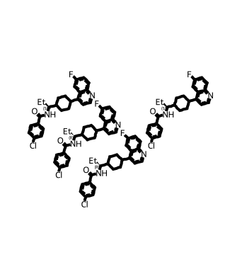 CC[C@@H](NC(=O)c1ccc(Cl)cc1)C1CCC(c2ccnc3ccc(F)cc23)CC1.CC[C@@H](NC(=O)c1ccc(Cl)cc1)C1CCC(c2ccnc3ccc(F)cc23)CC1.CC[C@H](NC(=O)c1ccc(Cl)cc1)C1CCC(c2ccnc3ccc(F)cc23)CC1.CC[C@H](NC(=O)c1ccc(Cl)cc1)C1CCC(c2ccnc3ccc(F)cc23)CC1